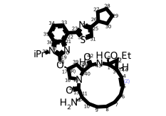 CCOC(=O)[C@@]12C[C@H]1/C=C\CCCCC[C@H](N)C(=O)N1C[C@H](Oc3nc4c(-c5nc(C6CCCC6)cs5)cccc4n3C(C)C)C[C@H]1C(=O)N2